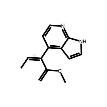 C=C(OC)/C(=C\C)c1ccnc2[nH]ccc12